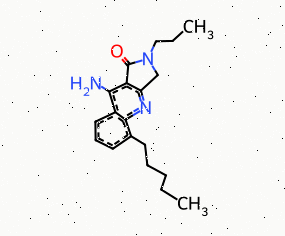 CCCCCc1cccc2c(N)c3c(nc12)CN(CCC)C3=O